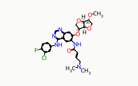 CO[C@@H]1CO[C@@H]2[C@H]1OC[C@@H]2Oc1cc2ncnc(Nc3ccc(F)c(Cl)c3)c2cc1NC(=O)C=CCN(C)C